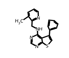 Cc1cccnc1CNc1ncnc2scc(-c3ccccc3)c12